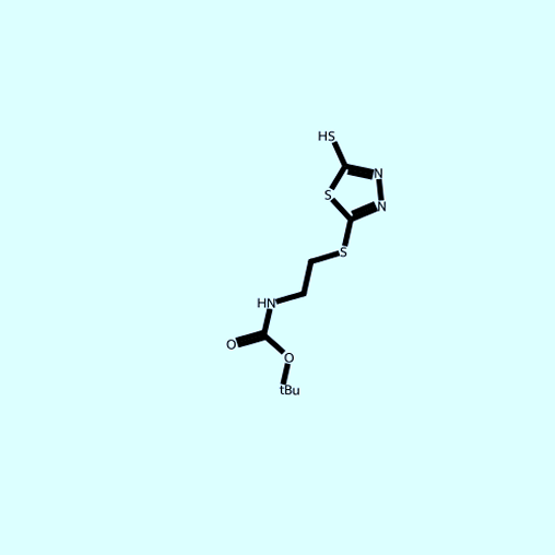 CC(C)(C)OC(=O)NCCSc1nnc(S)s1